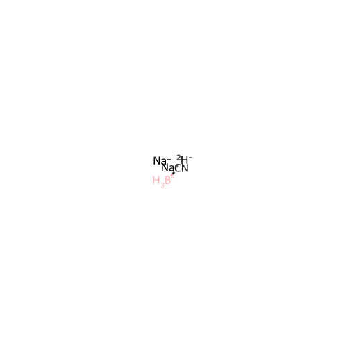 [2H-].[BH3-]C#N.[Na+].[Na+]